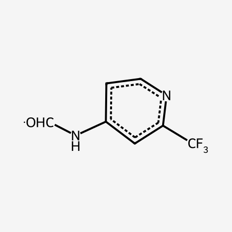 O=[C]Nc1ccnc(C(F)(F)F)c1